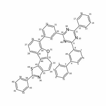 c1ccc(-c2cccc(-c3nc(-c4ccccc4)nc(-c4cccc(-c5cccc6c5oc5ccc7nc(-c8ccccc8)sc7c56)c4)n3)c2)cc1